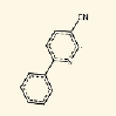 N#Cc1[c]nc(-c2ccccc2)cc1